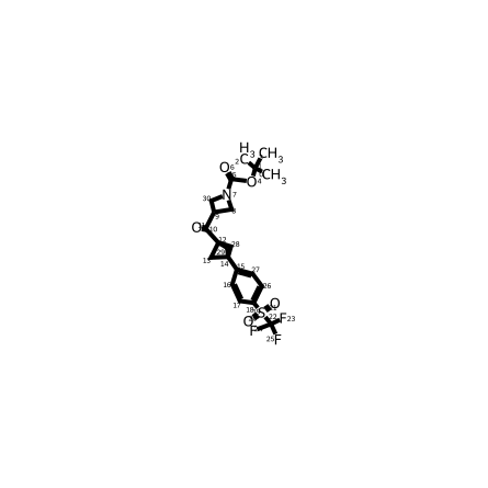 CC(C)(C)OC(=O)N1CC(C(=O)C23CC(c4ccc(S(=O)(=O)C(F)(F)F)cc4)(C2)C3)C1